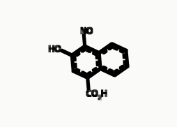 O=Nc1c(O)cc(C(=O)O)c2ccccc12